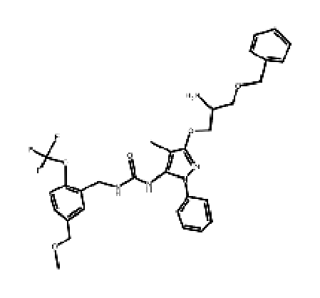 COCc1ccc(OC(F)(F)F)c(CNC(=O)Nc2c(C)c(OCC(N)COCc3ccccc3)nn2-c2ccccc2)c1